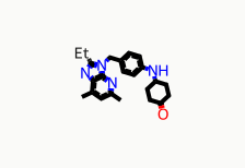 CCc1nc2c(C)cc(C)nc2n1Cc1ccc(NC2CCC(=O)CC2)cc1